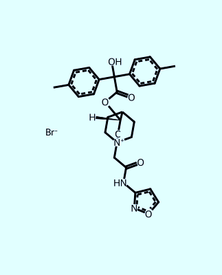 Cc1ccc(C(O)(C(=O)O[C@H]2C[N+]3(CC(=O)Nc4ccon4)CCC2CC3)c2ccc(C)cc2)cc1.[Br-]